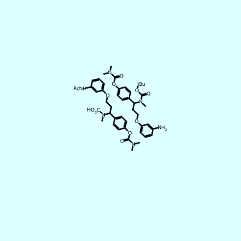 CC(=O)Nc1cccc(OCCC(c2ccc(OC(=O)N(C)C)cc2)N(C)C(=O)O)c1.CN(C)C(=O)Oc1ccc(C(CCOc2cccc(N)c2)N(C)C(=O)OC(C)(C)C)cc1